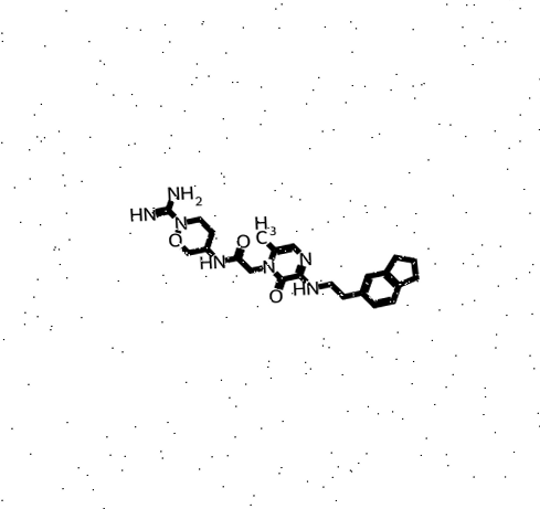 Cc1cnc(NCCc2ccc3c(c2)CCC3)c(=O)n1CC(=O)NC1CCN(C(=N)N)OC1